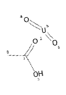 CC(=O)O.[O]=[U]=[O]